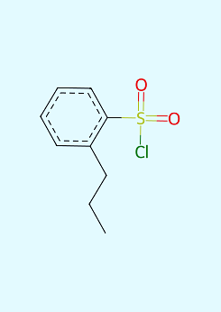 CCCc1ccccc1S(=O)(=O)Cl